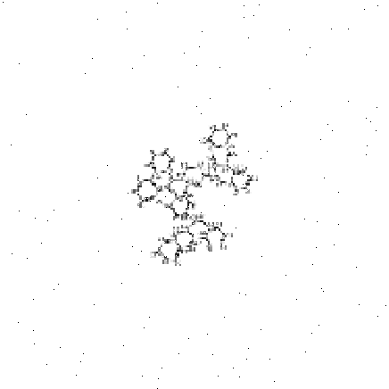 c1ccc(-c2c(-c3ccccc3)c3ccc(-c4cc5ccccc5c5cc6ccccc6cc45)nc3c3nc(-c4cc5ccccc5c5cc6ccccc6cc45)ccc23)cc1